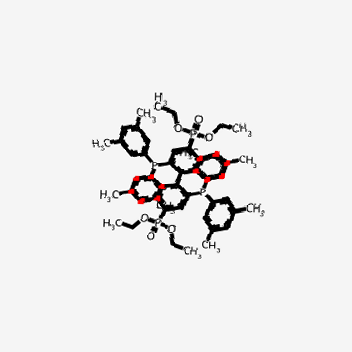 CCOP(=O)(OCC)c1cc(P(c2cc(C)cc(C)c2)c2cc(C)cc(C)c2)c(-c2c(P(c3cc(C)cc(C)c3)c3cc(C)cc(C)c3)cc(P(=O)(OCC)OCC)c3ccccc23)c2ccccc12